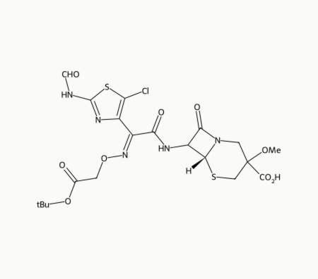 COC1(C(=O)O)CS[C@@H]2C(NC(=O)C(=NOCC(=O)OC(C)(C)C)c3nc(NC=O)sc3Cl)C(=O)N2C1